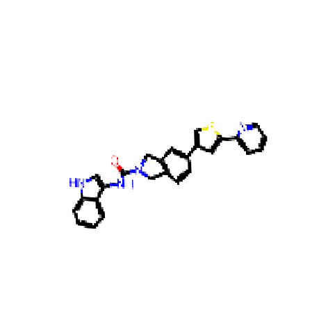 O=C(Nc1c[nH]c2ccccc12)N1Cc2ccc(-c3csc(-c4ccccn4)c3)cc2C1